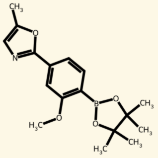 COc1cc(-c2ncc(C)o2)ccc1B1OC(C)(C)C(C)(C)O1